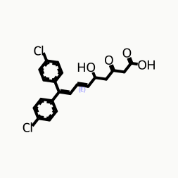 O=C(O)CC(=O)CC(O)/C=C/C=C(c1ccc(Cl)cc1)c1ccc(Cl)cc1